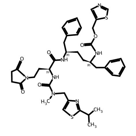 CC(C)c1nc(CN(C)C(=O)N[C@@H](CCN2C(=O)CCC2=O)C(=O)N[C@H](CC[C@H](Cc2ccccc2)NC(=O)OCc2cncs2)Cc2ccccc2)cs1